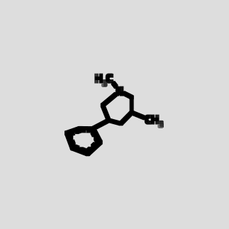 CC1CC(c2ccccc2)CN(C)C1